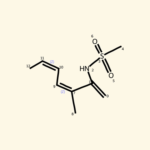 C=C(NS(C)(=O)=O)/C(C)=C\C=C/C